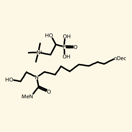 CCCCCCCCCCCCCCCCCCN(CCO)C(=O)NC.C[N+](C)(C)CC(O)P(=O)(O)O